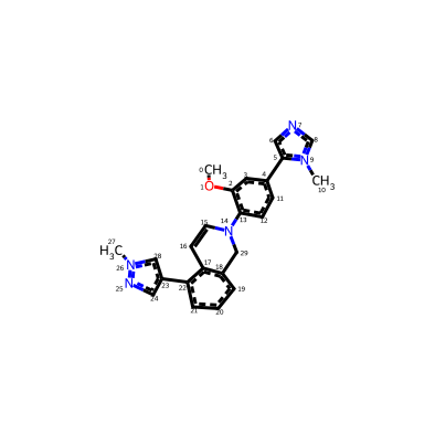 COc1cc(-c2cncn2C)ccc1N1C=Cc2c(cccc2-c2cnn(C)c2)C1